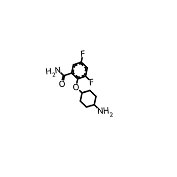 NC(=O)c1cc(F)cc(F)c1OC1CCC(N)CC1